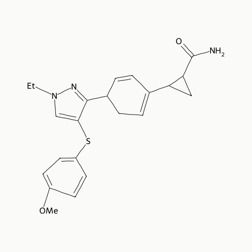 CCn1cc(Sc2ccc(OC)cc2)c(C2C=CC(C3CC3C(N)=O)=CC2)n1